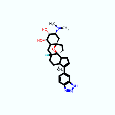 CN(C)[C@H]1C[C@@]23CC[C@]4(O2)C2CC=C(c5ccc6nn[nH]c6c5)[C@@]2(C)CCC4(F)CC3[C@@H](O)[C@@H]1O